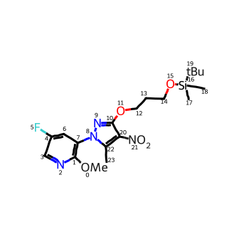 COc1ncc(F)cc1-n1nc(OCCCO[Si](C)(C)C(C)(C)C)c([N+](=O)[O-])c1C